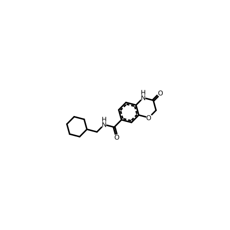 O=C1COc2cc(C(=O)NCC3CCCCC3)ccc2N1